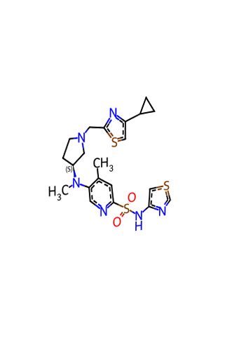 Cc1cc(S(=O)(=O)Nc2cscn2)ncc1N(C)[C@H]1CCN(Cc2nc(C3CC3)cs2)C1